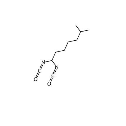 CC(C)CCCCC(N=C=O)N=C=O